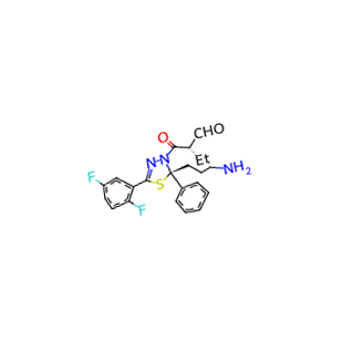 CC[C@@H](C=O)C(=O)N1N=C(c2cc(F)ccc2F)S[C@@]1(CCCN)c1ccccc1